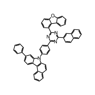 c1ccc(-c2ccc3c4c5ccccc5ccc4n(-c4ccc(-c5nc(-c6ccc7ccccc7c6)nc(-c6cccc7oc8ccccc8c67)n5)cc4)c3c2)cc1